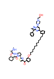 CN[C@@H](C)C(=O)N[C@H](C(=O)N1CCC[C@H]1c1nc(C(=O)c2cccc(OCCCCCCCCCCCCCc3cccc(-c4cc(N5CCN(CCO)CC5)n5nc(C)c(-c6ccccc6)c5n4)c3)c2)cs1)C1CCCCC1